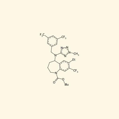 CCc1cc2c(cc1C(F)(F)F)N(C(=O)OC(C)CC)CCCC2N(Cc1cc(C(F)(F)F)cc(C(F)(F)F)c1)c1nnn(C)n1